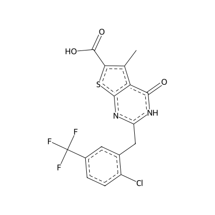 Cc1c(C(=O)O)sc2nc(Cc3cc(C(F)(F)F)ccc3Cl)[nH]c(=O)c12